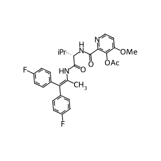 COc1ccnc(C(=O)N[C@H](C(=O)NC(C)=C(c2ccc(F)cc2)c2ccc(F)cc2)C(C)C)c1OC(C)=O